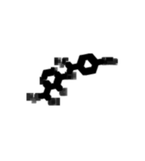 CSc1ccc(C(C)Nc2ncnc(C(C)O)c2Cl)cc1